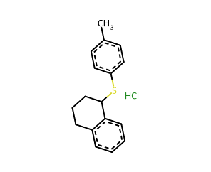 Cc1ccc(SC2CCCc3ccccc32)cc1.Cl